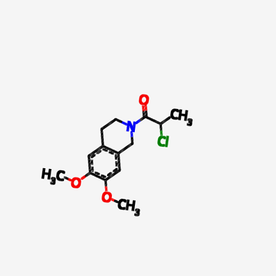 COc1cc2c(cc1OC)CN(C(=O)C(C)Cl)CC2